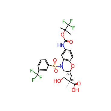 CC(C)(OC(=O)Nc1ccc2c(c1)N(S(=O)(=O)c1cccc(C(F)(F)F)c1)C[C@H](C[C@](C)(CO)C(=O)O)O2)C(F)(F)F